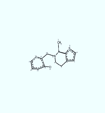 CC1c2sccc2CCN1Cc1ccccc1Cl